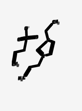 C=CCS(=O)(=O)[O-].C=CC[n+]1ccn(CC)c1